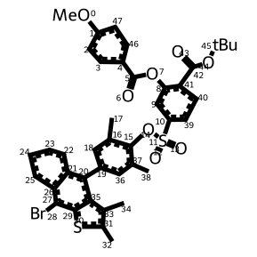 COc1ccc(C(=O)Oc2cc(S(=O)(=O)Oc3c(C)cc(-c4c5ccccc5c(Br)c5sc(C)c(C)c45)cc3C)ccc2C(=O)OC(C)(C)C)cc1